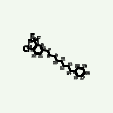 FC(F)(F)c1cc(CCCCCCCCc2ccccc2)ccc1Cl